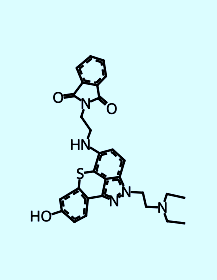 CCN(CC)CCn1nc2c3c(c(NCCN4C(=O)c5ccccc5C4=O)ccc31)Sc1cc(O)ccc1-2